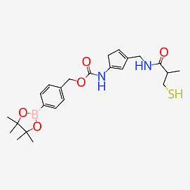 CC(CS)C(=O)NCC1=CCC(NC(=O)OCc2ccc(B3OC(C)(C)C(C)(C)O3)cc2)=C1